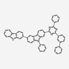 c1ccc(-c2cccc(-c3nc(-c4ccccc4)nc(-c4ccc5c6cc(-c7ccc8c(c7)sc7ccccc78)ccc6n(-c6ccccc6)c5c4)n3)c2)cc1